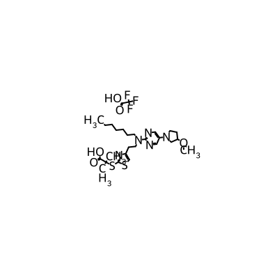 CCCCCCCN(CCc1csc(SC(C)(C)C(=O)O)n1)c1ncc(N2CCC(OC)C2)cn1.O=C(O)C(F)(F)F